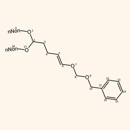 CCCCCCCCCOC(CCC=COCOCc1ccccc1)OCCCCCCCCC